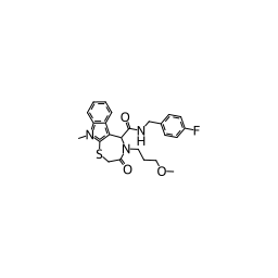 COCCCN1C(=O)CSc2c(c3ccccc3n2C)C1C(=O)NCc1ccc(F)cc1